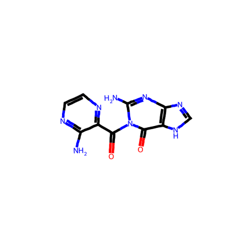 Nc1nccnc1C(=O)n1c(N)nc2nc[nH]c2c1=O